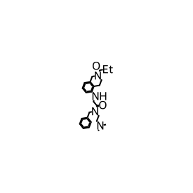 CCC(=O)N1CCc2c(cccc2NCC(=O)N(CCN(C)C)Cc2ccccc2)C1